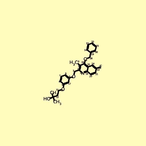 Cc1c(COc2cccc(OCCC(C)(C)O)c2)nc2ccc(F)cc2c1OCc1ccccc1